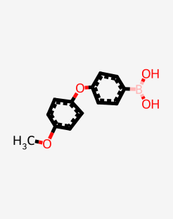 COc1ccc(Oc2ccc(B(O)O)cc2)cc1